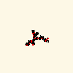 C=CC1=C(/C=C\C)C(C)(C)c2ccc(-c3ccc4sc5cc(-c6ccc(N(c7ccc(N(c8ccccc8)c8ccc9sc%10c%11ccccc%11ccc%10c9c8)cc7)c7ccc8c9cc%10ccccc%10cc9n(-c9ccccc9)c8c7)cc6)ccc5c4c3)cc21